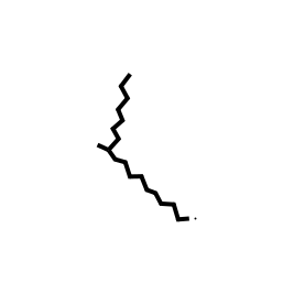 [CH2]CCCCCCCCCC(C)CCCCCCC